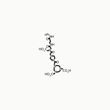 CCCNC(=O)CCNC(=O)CN(CC(=O)O)C(=O)CN1CCN(C(=O)CN2CCN(CC(=O)O)CCN(CC(=O)O)CC2)CC1